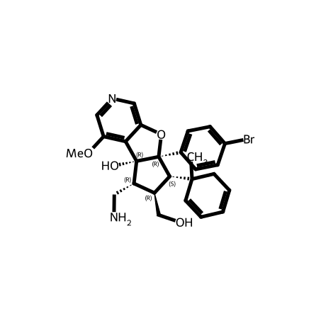 COc1cncc2c1[C@]1(O)[C@@H](CN)[C@H](CO)[C@@H](C3(C)C=CC=CC3)[C@]1(c1ccc(Br)cc1)O2